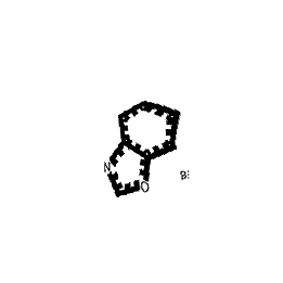 [B].c1ccc2ocnc2c1